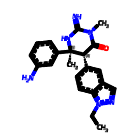 CCn1ncc2cc([C@H]3C(=O)N(C)C(=N)N[C@]3(C)c3cccc(N)c3)ccc21